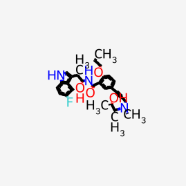 CCCOc1ccc(C#CCN(C)[C@H](C)[C@@H](C)O)cc1C(=O)NC(O)C(C)c1c[nH]c2ccc(F)cc12